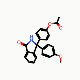 COc1ccc(C2(c3ccc(OC(C)=O)cc3)NC(=O)c3ccccc32)cc1